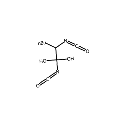 CCCCC(N=C=O)C(O)(O)N=C=O